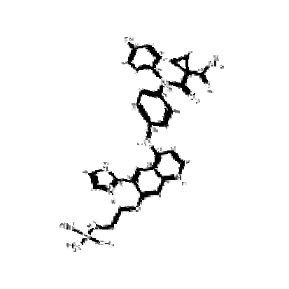 CC(C)(C)[Si](C)(C)OCCOc1cc2nccc(Oc3ccc(N(C(=O)C4(C(N)=O)CC4)c4ccc(F)cc4)cc3)c2cc1-c1ncco1